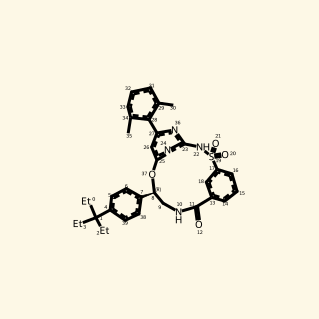 CCC(CC)(CC)c1ccc([C@@H]2CNC(=O)c3cccc(c3)S(=O)(=O)Nc3nc(cc(-c4c(C)cccc4C)n3)O2)cc1